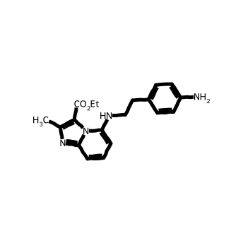 CCOC(=O)c1c(C)nc2cccc(NCCc3ccc(N)cc3)n12